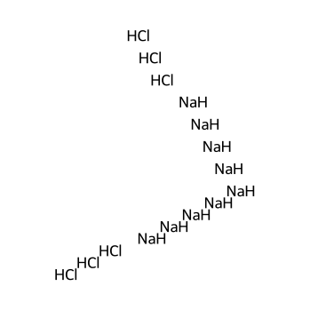 Cl.Cl.Cl.Cl.Cl.Cl.[NaH].[NaH].[NaH].[NaH].[NaH].[NaH].[NaH].[NaH].[NaH]